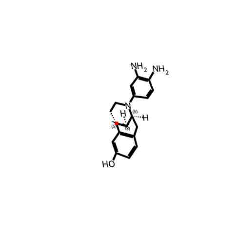 Nc1ccc(N2CC[C@@]34CCCC[C@@H]3[C@@H]2Cc2ccc(O)cc24)cc1N